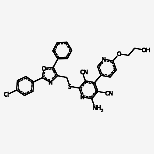 N#Cc1c(N)nc(SCc2nc(-c3ccc(Cl)cc3)oc2-c2ccccc2)c(C#N)c1-c1ccc(OCCO)nc1